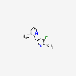 Cc1cccnc1Cc1cnc(C)c(F)c1